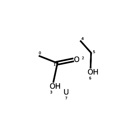 CC(=O)O.CCO.[U]